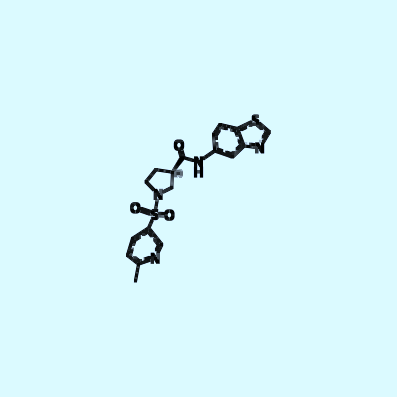 Cc1ccc(S(=O)(=O)N2CC[C@@H](C(=O)Nc3ccc4scnc4c3)C2)cn1